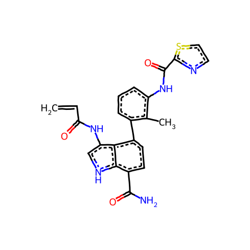 C=CC(=O)Nc1c[nH]c2c(C(N)=O)ccc(-c3cccc(NC(=O)c4nccs4)c3C)c12